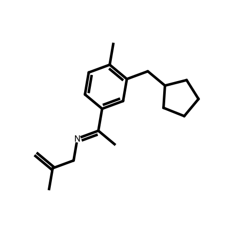 C=C(C)C/N=C(\C)c1ccc(C)c(CC2CCCC2)c1